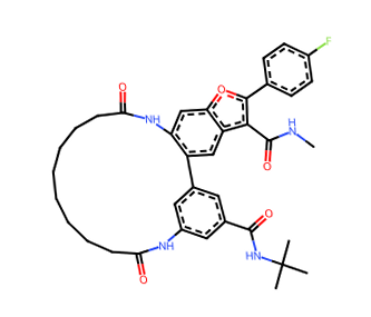 CNC(=O)c1c(-c2ccc(F)cc2)oc2cc3c(cc12)-c1cc(cc(C(=O)NC(C)(C)C)c1)NC(=O)CCCCCCCCC(=O)N3